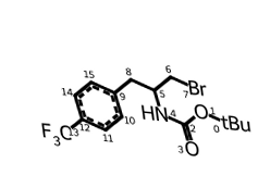 CC(C)(C)OC(=O)NC(CBr)Cc1ccc(C(F)(F)F)cc1